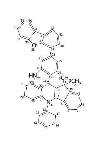 CC1(C)C2=C(c3ccccc31)N(c1ccccc1)c1cccc3c1B2c1ccc(-c2cccc4c2oc2ccccc24)cc1N3